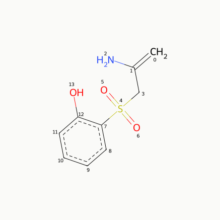 C=C(N)CS(=O)(=O)c1ccccc1O